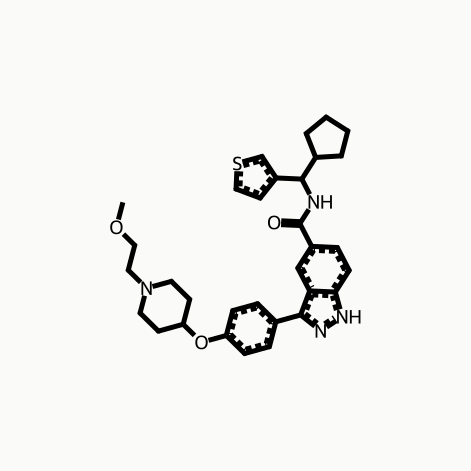 COCCN1CCC(Oc2ccc(-c3n[nH]c4ccc(C(=O)NC(c5ccsc5)C5CCCC5)cc34)cc2)CC1